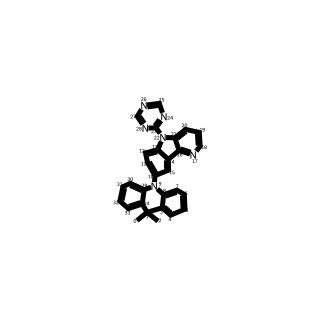 CC1(C)c2ccccc2N(c2ccc3c(c2)c2ncccc2n3-c2ncncn2)c2ccccc21